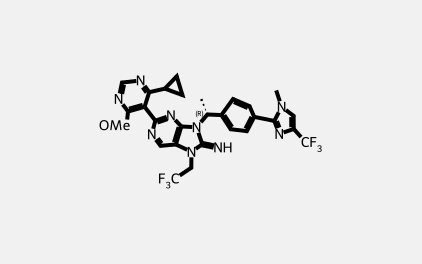 COc1ncnc(C2CC2)c1-c1ncc2c(n1)n([C@H](C)c1ccc(-c3nc(C(F)(F)F)cn3C)cc1)c(=N)n2CC(F)(F)F